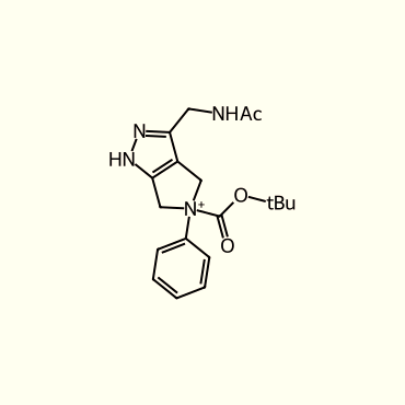 CC(=O)NCc1n[nH]c2c1C[N+](C(=O)OC(C)(C)C)(c1ccccc1)C2